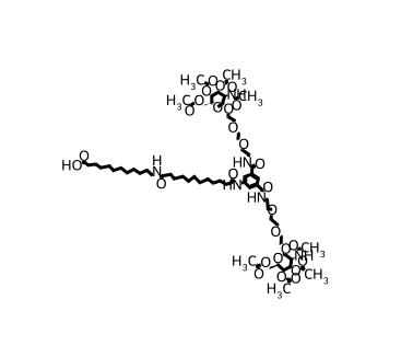 CC(=O)N[C@H]1C(OCCOCCOCCNC(=O)c2cc(NC(=O)CCCCCCCCCCC(=O)NCCCCCCCCCCCC(=O)O)cc(C(=O)NCCOCCOCCOC3O[C@H](COC(C)=O)[C@H](OC(C)=O)[C@H](OC(C)=O)[C@H]3NC(C)=O)c2)O[C@H](COC(C)=O)[C@H](OC(C)=O)[C@@H]1OC(C)=O